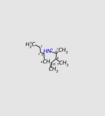 CCCC(C)NC(C)C(C)CC